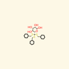 O[C@@H]1[C@H](O)[C@@H](O)O[C@H](C(SCc2ccccc2)(SCc2ccccc2)SCc2ccccc2)[C@H]1O